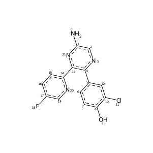 Nc1cnc(-c2ccc(O)c(Cl)c2)c(-c2ccc(F)cn2)n1